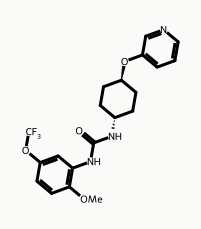 COc1ccc(OC(F)(F)F)cc1NC(=O)N[C@H]1CC[C@H](Oc2cccnc2)CC1